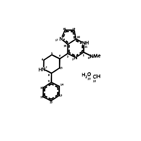 CNc1nc(C2CCNC(c3ccccc3)C2)c2nccc-2[nH]1.Cl.O